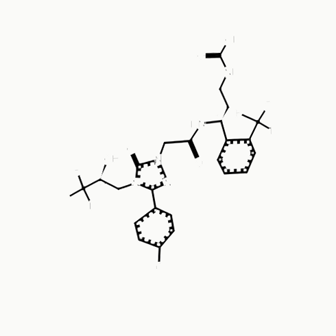 O=C(O)NCC[C@H](NC(=O)Cn1nc(-c2ccc(Cl)cc2)n(C[C@H](O)C(F)(F)F)c1=O)c1ccccc1C(F)(F)F